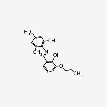 CCCOc1cccc(/C=N/c2c(C)cc(C)cc2C)c1O